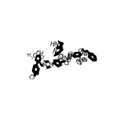 CC1(C)CCC(CN2CCN(c3ccc(C(=O)NS(=O)(=O)c4cc5c(c([N+](=O)[O-])c4)NC(Cc4ccccc4)CO5)c(Oc4cnc5[nH]ccc5c4)c3)CC2)=C(c2ccc(Cl)cc2)C1